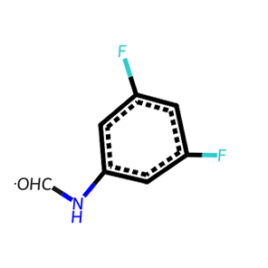 O=[C]Nc1cc(F)cc(F)c1